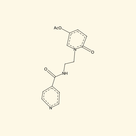 CC(=O)Oc1ccc(=O)n(CCNC(=O)c2ccncc2)c1